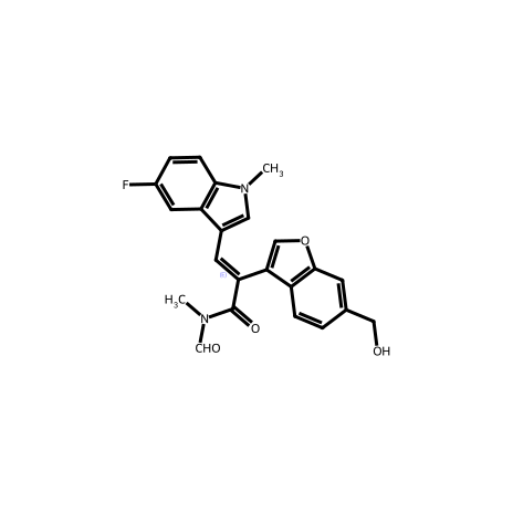 CN(C=O)C(=O)/C(=C/c1cn(C)c2ccc(F)cc12)c1coc2cc(CO)ccc12